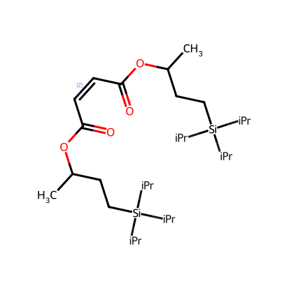 CC(CC[Si](C(C)C)(C(C)C)C(C)C)OC(=O)/C=C\C(=O)OC(C)CC[Si](C(C)C)(C(C)C)C(C)C